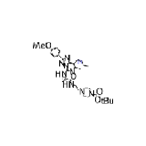 C=C/C=C\c1c(C)nc(N[C@H](C)C(=O)NCCN2CCN(C(=O)OC(C)(C)C)CC2)n2nc(-c3ccc(OC)cc3)nc12